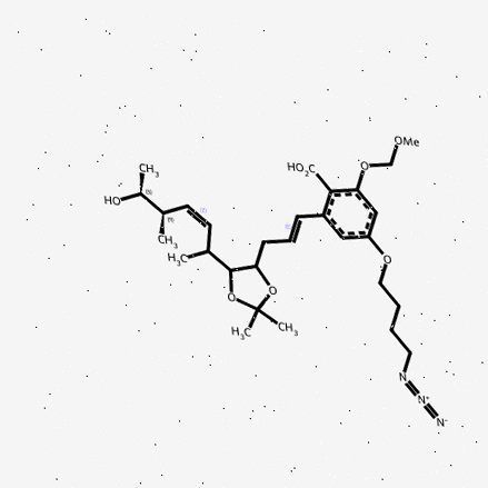 COCOc1cc(OCCCCN=[N+]=[N-])cc(/C=C/CC2OC(C)(C)OC2C(C)/C=C\[C@@H](C)[C@H](C)O)c1C(=O)O